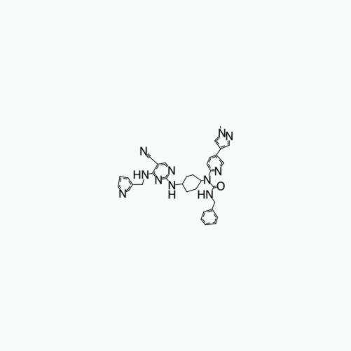 Cn1cc(-c2ccc(N(C(=O)NCc3ccccc3)C3CCC(Nc4ncc(C#N)c(NCc5cccnc5)n4)CC3)nc2)cn1